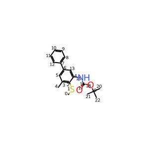 CSc1c(C)cc(-c2ccccc2)cc1NC(=O)OC(C)(C)C